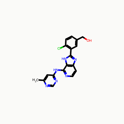 Cc1cc(Nc2nccc3nc(-c4cc(CO)ccc4Cl)[nH]c23)ncn1